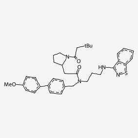 COc1ccc(-c2ccc(CN(CCCNc3nsc4ccccc34)C(=O)CC3CCCN3C(=O)CC(C)(C)C)cc2)cc1